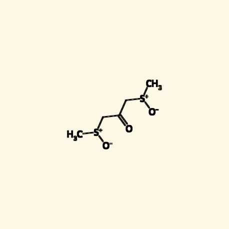 C[S+]([O-])CC(=O)C[S+](C)[O-]